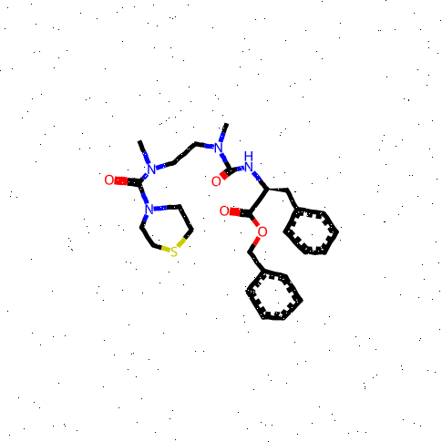 CN(CCN(C)C(=O)N1CCSCC1)C(=O)N[C@@H](Cc1ccccc1)C(=O)OCc1ccccc1